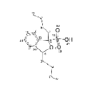 CCCCC1OC(CCCC)(S(=O)(=O)O)c2ccccc21